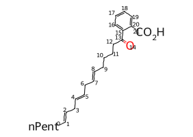 CCCCCC=CCC=CCC=CCCCCC(=O)c1ccccc1C(=O)O